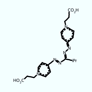 CC(C)C(N=Nc1cc[n+](CCC(=O)O)cc1)=NN=c1ccn(CCC(=O)O)cc1